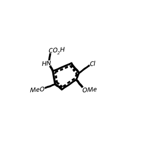 COc1cc(OC)c(NC(=O)O)cc1Cl